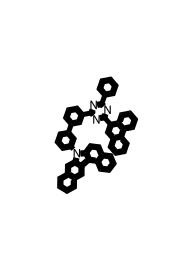 c1ccc(-c2nc(-c3cccc(-c4cccc(-n5c6cc7ccccc7cc6c6c7ccccc7ccc65)c4)c3)nc(-c3cc4ccccc4c4ccccc34)n2)cc1